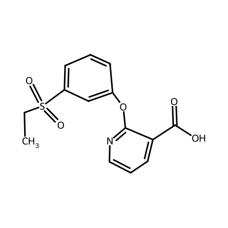 CCS(=O)(=O)c1cccc(Oc2ncccc2C(=O)O)c1